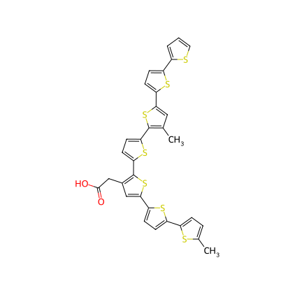 Cc1ccc(-c2ccc(-c3cc(CC(=O)O)c(-c4ccc(-c5sc(-c6ccc(-c7cccs7)s6)cc5C)s4)s3)s2)s1